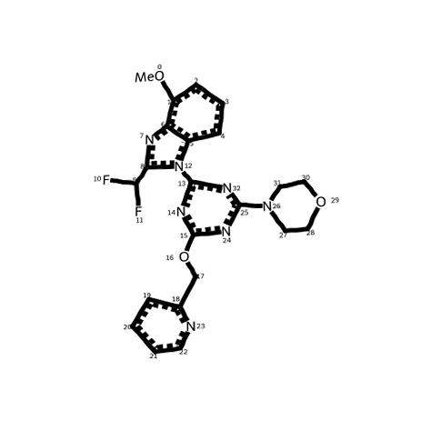 COc1cccc2c1nc(C(F)F)n2-c1nc(OCc2ccccn2)nc(N2CCOCC2)n1